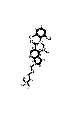 CN1CN(c2c(Cl)cccc2Cl)C(=O)c2cnc3c(ccn3COCC[Si](C)(C)C)c21